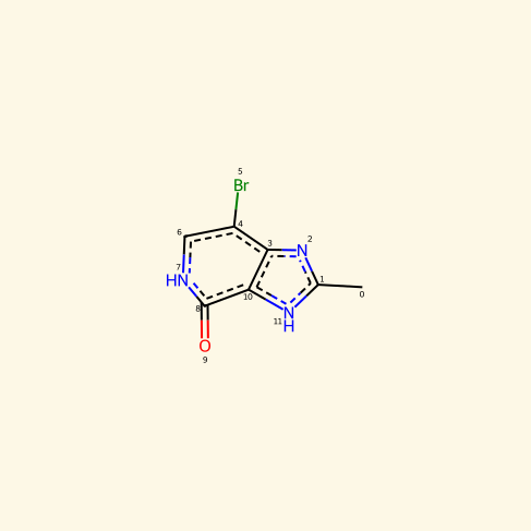 Cc1nc2c(Br)c[nH]c(=O)c2[nH]1